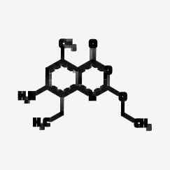 CCOc1nc2c(CC)c(N)cc(C)c2c(=O)o1